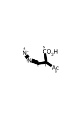 CC(=O)C(C=[N+]=[N-])C(=O)O